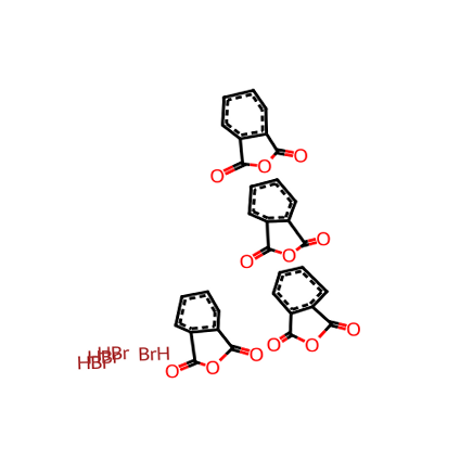 Br.Br.Br.Br.O=C1OC(=O)c2ccccc21.O=C1OC(=O)c2ccccc21.O=C1OC(=O)c2ccccc21.O=C1OC(=O)c2ccccc21